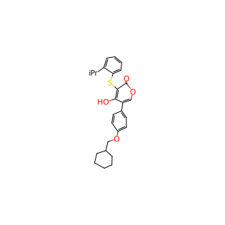 CC(C)c1ccccc1Sc1c(O)c(-c2ccc(OCC3CCCCC3)cc2)coc1=O